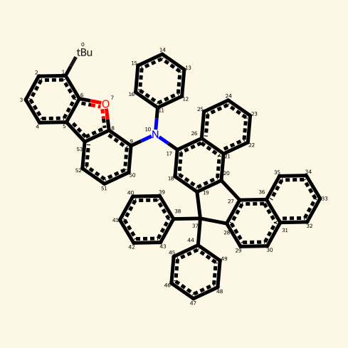 CC(C)(C)c1cccc2c1oc1c(N(c3ccccc3)c3cc4c(c5ccccc35)-c3c(ccc5ccccc35)C4(c3ccccc3)c3ccccc3)cccc12